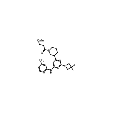 COCCC(=O)N1CCCC(c2cc(Nc3cc(C(F)(F)F)ccn3)nc(N3CC(F)(F)C3)n2)C1